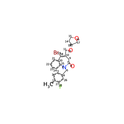 Cc1ccc(CN2C(=O)CC(CO[C@@H]3CCOC3)=C(Br)c3ccccc32)cc1F